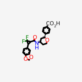 O=C(O)c1ccc([C@@H]2C[C@H](NC(=O)C3C(c4ccc5c(c4)OCO5)C3(F)F)CCO2)cc1